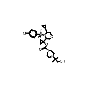 CC(C)(CO)N1CCN(C(=O)OC2(C3COCC(C4CC4)N3S(=O)(=O)c3ccc(Cl)cc3)CC2)CC1